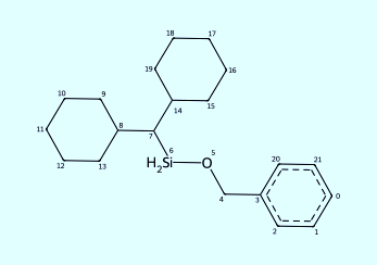 c1ccc(CO[SiH2]C(C2CCCCC2)C2CCCCC2)cc1